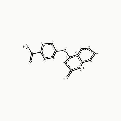 NC(=O)c1ccc(Oc2cc(=O)[nH]c3ccccc23)cc1